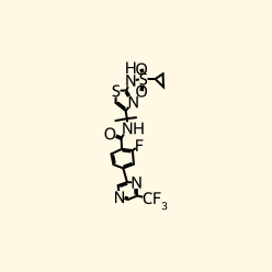 CC(C)(NC(=O)c1ccc(-c2cncc(C(F)(F)F)n2)cc1F)c1csc(NS(=O)(=O)C2CC2)n1